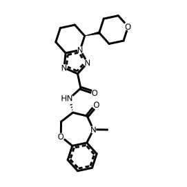 CN1C(=O)[C@@H](NC(=O)c2nc3n(n2)[C@H](C2CCOCC2)CCC3)COc2ccccc21